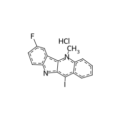 Cl.Cn1c2c3cc(F)ccc3nc-2c(I)c2ccccc21